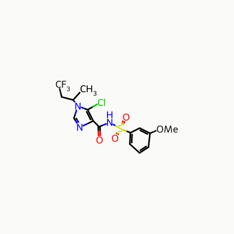 COc1cccc(S(=O)(=O)NC(=O)c2ncn(C(C)CC(F)(F)F)c2Cl)c1